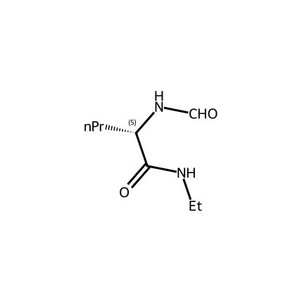 CCC[C@H](NC=O)C(=O)NCC